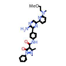 COCCN(C)c1cccc(-c2cnc(N)c(-c3ccc(NC(=O)c4c(C)n(C)n(-c5ccccc5)c4=O)cc3)n2)n1